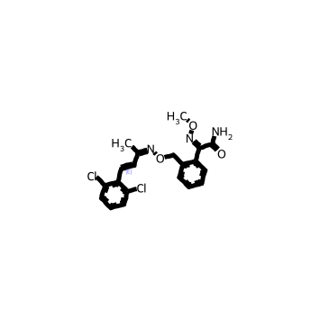 CON=C(C(N)=O)c1ccccc1CON=C(C)/C=C/c1c(Cl)cccc1Cl